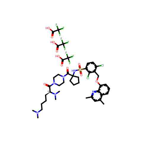 Cc1cc(C)c2cccc(OCc3c(Cl)ccc(S(=O)(=O)NC4(C(=O)N5CCN(C(=O)[C@H](CCCCN(C)C)N(C)C)CC5)CCCC4)c3Cl)c2n1.O=C(O)C(F)(F)F.O=C(O)C(F)(F)F.O=C(O)C(F)(F)F